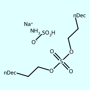 CCCCCCCCCCCCOS(=O)(=O)OCCCCCCCCCCCC.N.O=S(=O)([O-])O.[Na+]